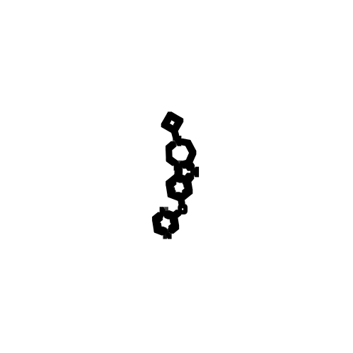 c1cnc(Oc2ccc3c(c2)nc2n3CCN(C3CCC3)CC2)cn1